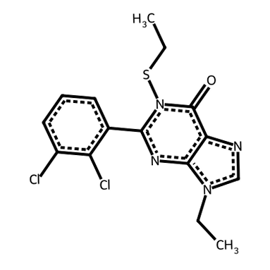 CCSn1c(-c2cccc(Cl)c2Cl)nc2c(ncn2CC)c1=O